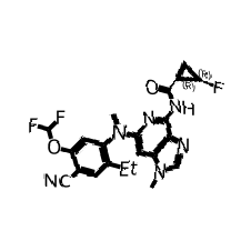 CCc1cc(C#N)c(OC(F)F)cc1N(C)c1cc2c(ncn2C)c(NC(=O)[C@H]2C[C@H]2F)n1